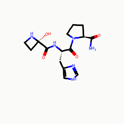 NC(=O)[C@@H]1CCCN1C(=O)[C@H](Cc1c[nH]cn1)NC(=O)[C@@]1(O)CCN1